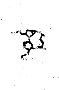 CCOc1ncc(N2C(CNC)CC3CC32)cc1Br.O=C(O)C=CC(=O)O